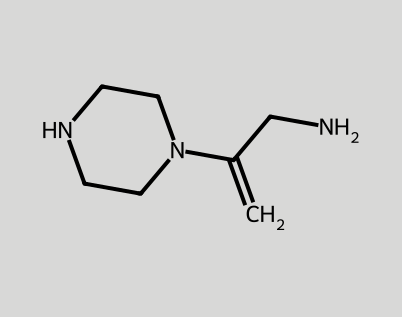 C=C(CN)N1CCNCC1